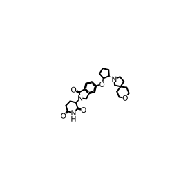 O=C1CCC(N2Cc3cc(O[C@H]4CCC[C@@H]4N4CCC5(CCOCC5)C4)ccc3C2=O)C(=O)N1